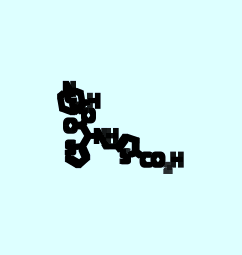 O=C(O)c1ccc(CNC(C(=O)O[C@H]2CN3CCC2CC3)c2cccs2)s1